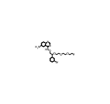 Nc1ccc2ncnc(NOCC(OCCOCCOCCF)c3cccc(Br)c3)c2c1